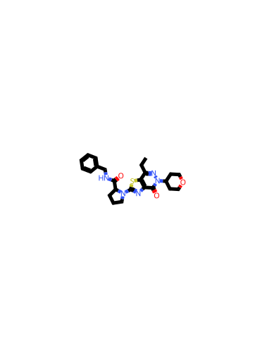 CCc1nn(C2CCOCC2)c(=O)c2nc(N3CCCC3C(=O)NCc3ccccc3)sc12